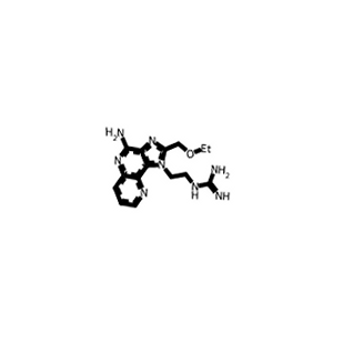 CCOCc1nc2c(N)nc3cccnc3c2n1CCNC(=N)N